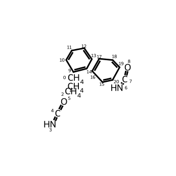 C.C.C.N=C=O.N=C=O.c1ccccc1.c1ccccc1